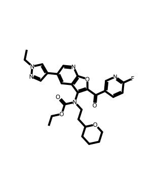 CCOC(=O)N(CCC1CCCCO1)c1c(C(=O)c2ccc(F)nc2)oc2ncc(-c3cnn(CC)c3)cc12